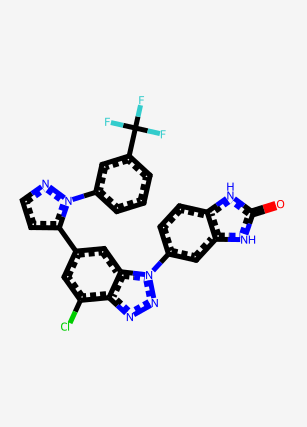 O=c1[nH]c2ccc(-n3nnc4c(Cl)cc(-c5ccnn5-c5cccc(C(F)(F)F)c5)cc43)cc2[nH]1